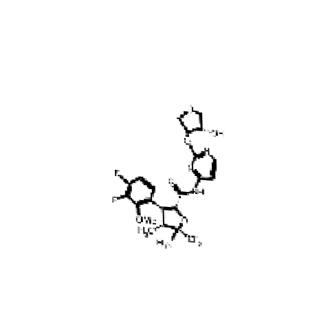 COc1c([C@H]2[C@H](C(=O)Nc3ccnc(O[C@@H]4COC[C@@H]4O)n3)O[C@@](C)(C(F)(F)F)[C@H]2C)ccc(F)c1F